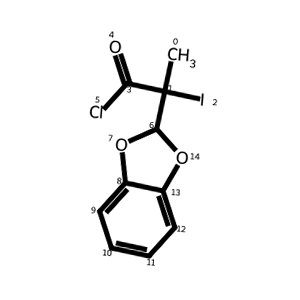 CC(I)(C(=O)Cl)C1Oc2ccccc2O1